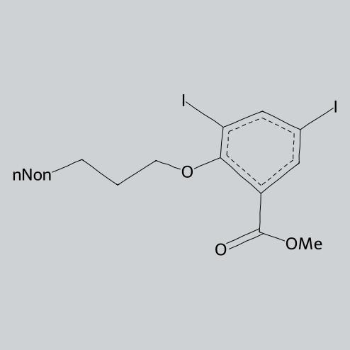 CCCCCCCCCCCCOc1c(I)cc(I)cc1C(=O)OC